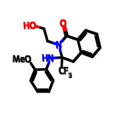 COc1ccccc1NC1(C(F)(F)F)Cc2ccccc2C(=O)N1CCO